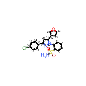 NS(=O)(=O)c1ccccc1-n1nc(-c2ccc(Cl)cc2)cc1-c1ccoc1